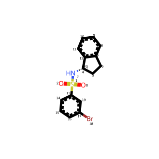 O=S(=O)(N[C@H]1CCc2ccccc21)c1cccc(Br)c1